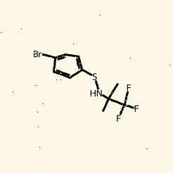 CC(C)(NSc1ccc(Br)cc1)C(F)(F)F